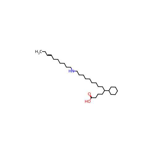 CCC=CCCCCCCNCCCCCCCCCC(CCCC(=O)O)C1CCCCC1